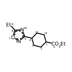 CCOC(=O)C1CCC(c2noc(CC)n2)CC1